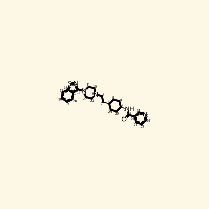 O=C(N[C@H]1CC[C@H](CCN2CCN(c3nsc4ccccc34)CC2)CC1)c1cccnc1